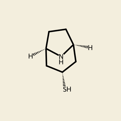 S[C@@H]1C[C@H]2CC[C@@H](C1)N2